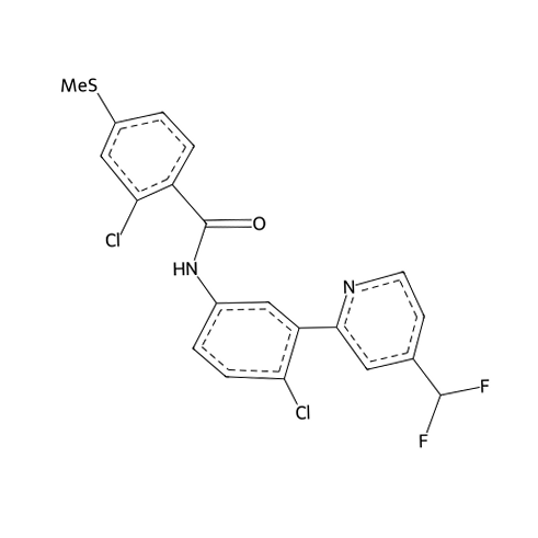 CSc1ccc(C(=O)Nc2ccc(Cl)c(-c3cc(C(F)F)ccn3)c2)c(Cl)c1